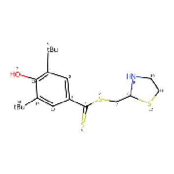 CC(C)(C)c1cc(C(=S)SCC2NCCS2)cc(C(C)(C)C)c1O